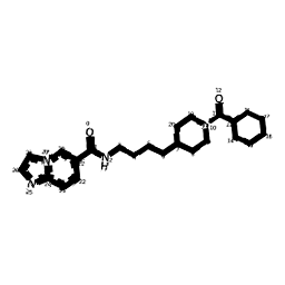 O=C(NCCCCC1CCN(C(=O)C2CCCCC2)CC1)c1ccc2nccn2c1